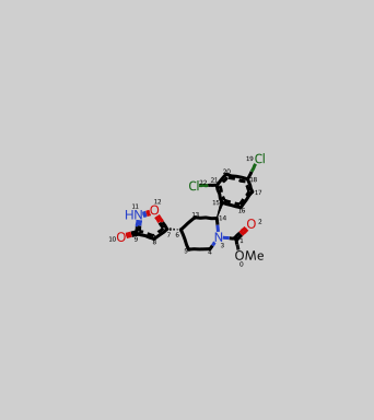 COC(=O)N1CC[C@H](c2cc(=O)[nH]o2)C[C@H]1c1ccc(Cl)cc1Cl